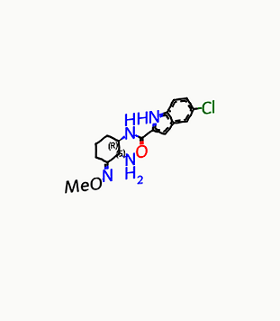 CON=C1CCC[C@@H](NC(=O)c2cc3cc(Cl)ccc3[nH]2)[C@@H]1N